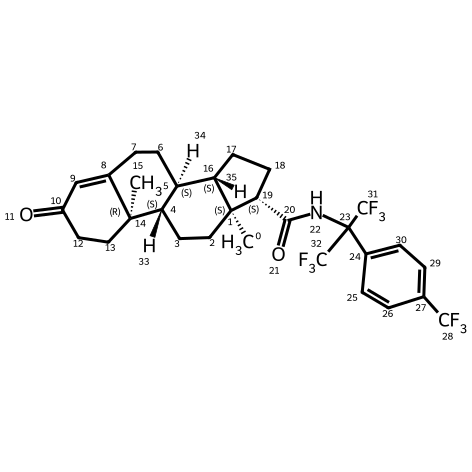 C[C@]12CC[C@H]3[C@@H](CCC4=CC(=O)CC[C@@]43C)[C@@H]1CC[C@@H]2C(=O)NC(c1ccc(C(F)(F)F)cc1)(C(F)(F)F)C(F)(F)F